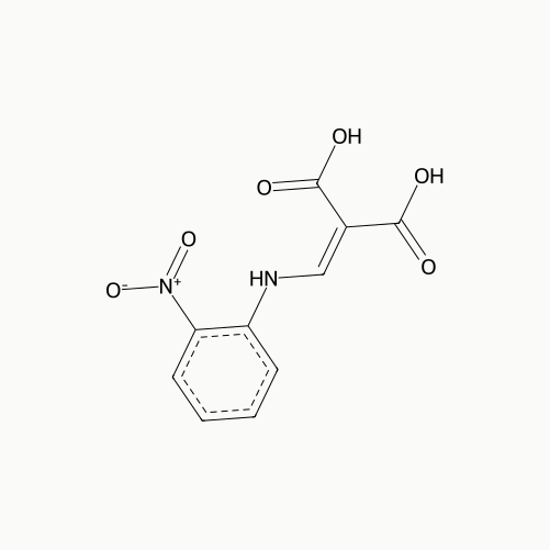 O=C(O)C(=CNc1ccccc1[N+](=O)[O-])C(=O)O